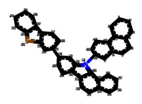 c1ccc2c(c1)ccc1cc(-n3c4cc(-c5ccc6c(c5)sc5ccccc56)ccc4c4ccc5ccccc5c43)ccc12